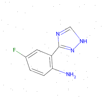 Nc1ccc(F)cc1-c1nc[nH]n1